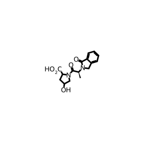 C[C@@H](C(=O)N1CC(O)CC1C(=O)O)N1Cc2ccccc2C1=O